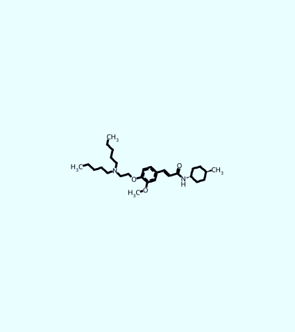 CCCCCN(CCCCC)CCOc1ccc(/C=C/C(=O)N[C@H]2CC[C@H](C)CC2)cc1OC